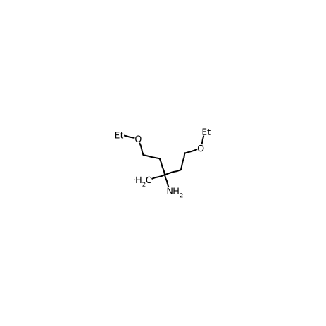 [CH2]C(N)(CCOCC)CCOCC